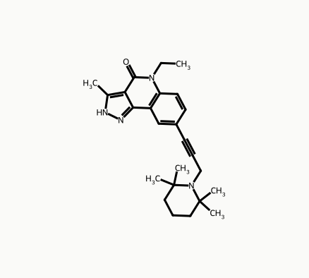 CCn1c(=O)c2c(C)[nH]nc2c2cc(C#CCN3C(C)(C)CCCC3(C)C)ccc21